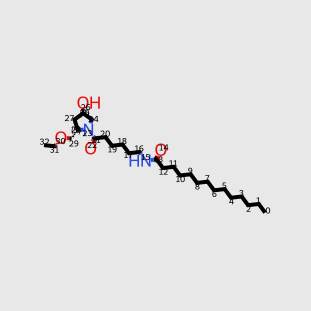 CCCCCCCCCCCCCC(=O)NCCCCCC(=O)N1C[C@H](O)C[C@H]1COCC